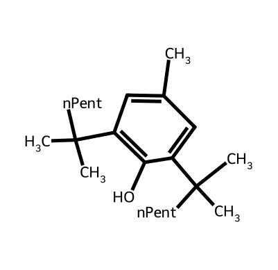 CCCCCC(C)(C)c1cc(C)cc(C(C)(C)CCCCC)c1O